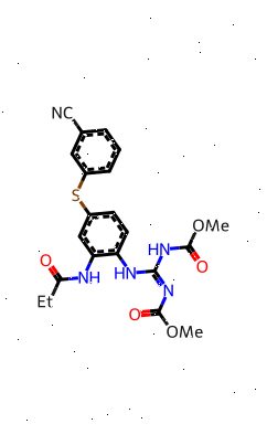 CCC(=O)Nc1cc(Sc2cccc(C#N)c2)ccc1NC(=NC(=O)OC)NC(=O)OC